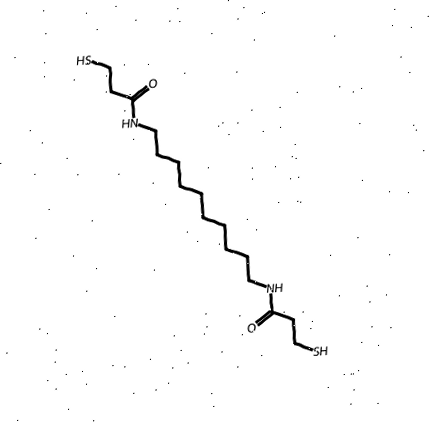 O=C(CCS)NCCCCCCCCCCNC(=O)CCS